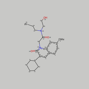 COc1ccc2cc(C3CCCCC3)c(=O)n(CC(=O)N(CCO)CCC(C)C)c2c1